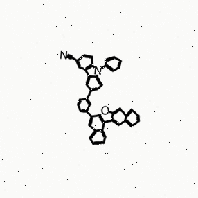 N#Cc1ccc2c(c1)c1cc(-c3cccc(-c4cc5ccccc5c5c4oc4cc6ccccc6cc45)c3)ccc1n2-c1ccccc1